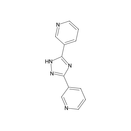 c1cncc(-c2n[nH]c(-c3cccnc3)n2)c1